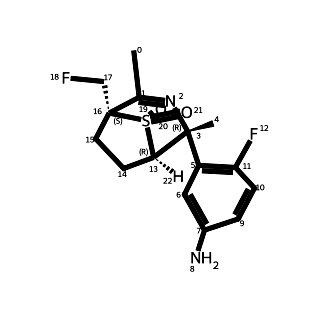 CC1=N[C@](C)(c2cc(N)ccc2F)[C@H]2CC[C@]1(CF)S2(=O)=O